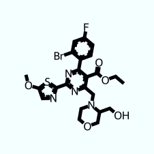 CCOC(=O)c1c(CN2CCOCC2CO)nc(-c2ncc(OC)s2)nc1-c1ccc(F)cc1Br